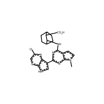 Cn1ccc2c(NC3C4CCC(CC4)C3C(=O)O)nc(-c3c[nH]c4ncc(Cl)nc34)nc21